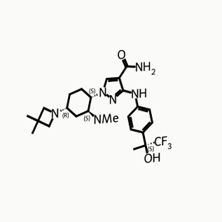 CN[C@H]1C[C@H](N2CC(C)(C)C2)CC[C@@H]1n1cc(C(N)=O)c(Nc2ccc([C@](C)(O)C(F)(F)F)cc2)n1